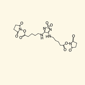 O=C(CCCCNC1=NS(=O)(=O)N=C1NCCCCC(=O)ON1C(=O)CCC1=O)ON1C(=O)CCC1=O